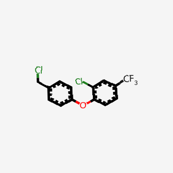 FC(F)(F)c1ccc(Oc2ccc(CCl)cc2)c(Cl)c1